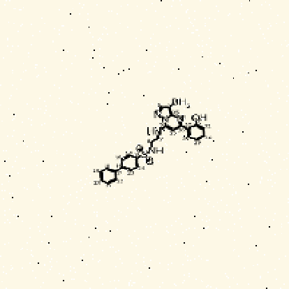 Bc1cnn2c(NCCNS(=O)(=O)c3ccc(-c4ccccc4)cc3)cc(-c3ccccc3O)nc12